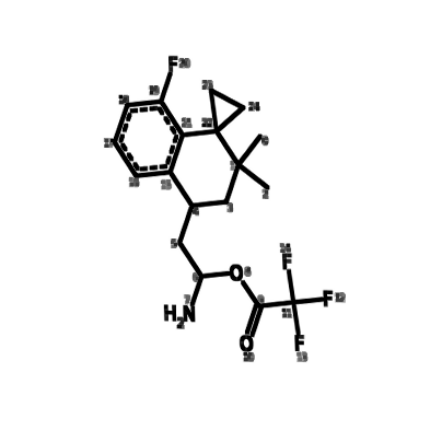 CC1(C)CC(CC(N)OC(=O)C(F)(F)F)c2cccc(F)c2C12CC2